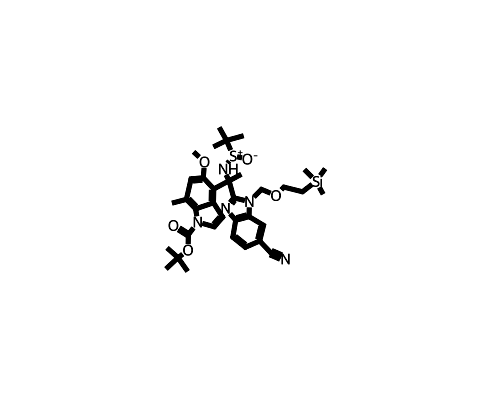 COc1cc(C)c2c(ccn2C(=O)OC(C)(C)C)c1C(C)(N[S+]([O-])C(C)(C)C)c1nc2ccc(C#N)cc2n1COCC[Si](C)(C)C